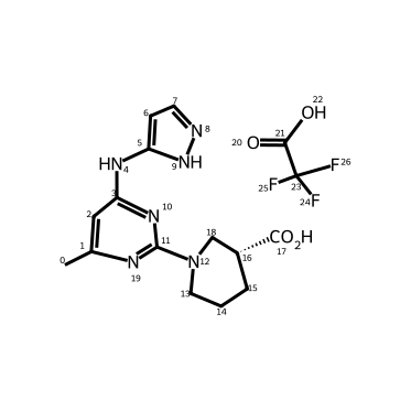 Cc1cc(Nc2ccn[nH]2)nc(N2CCC[C@@H](C(=O)O)C2)n1.O=C(O)C(F)(F)F